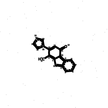 CC1=C2N=c3ccccc3=C2C(=O)C=C1n1ccnc1